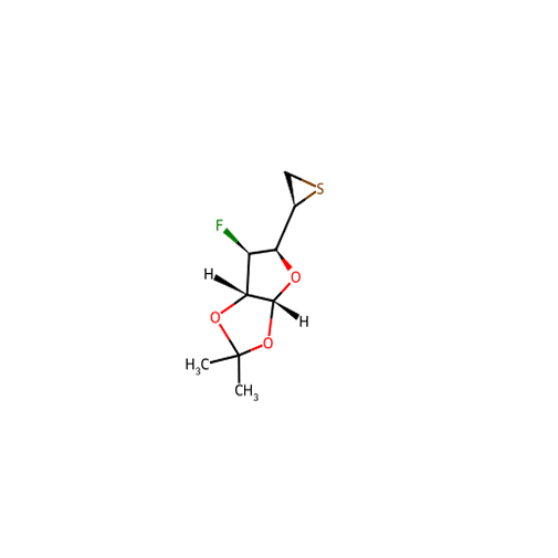 CC1(C)O[C@H]2O[C@H]([C@H]3CS3)[C@H](F)[C@H]2O1